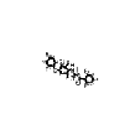 Cc1cc(Oc2ccc(F)cc2F)c(Cl)c(C)c1NC(=O)NC(=O)c1c(F)cccc1F